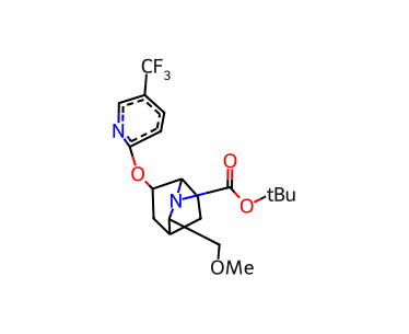 COCC1C2CCC(C(Oc3ccc(C(F)(F)F)cn3)C2)N1C(=O)OC(C)(C)C